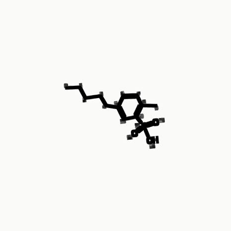 CCCCCc1ccc(C)c(S(=O)(=O)O)c1